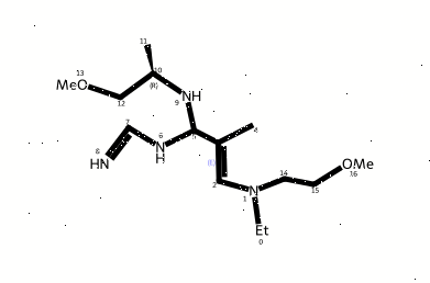 CCN(/C=C(\C)C(NC=N)N[C@H](C)COC)CCOC